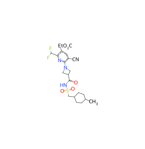 CCOC(=O)c1cc(C#N)c(N2CC(C(=O)NS(=O)(=O)CC3CCC(C)CC3)C2)nc1C(F)F